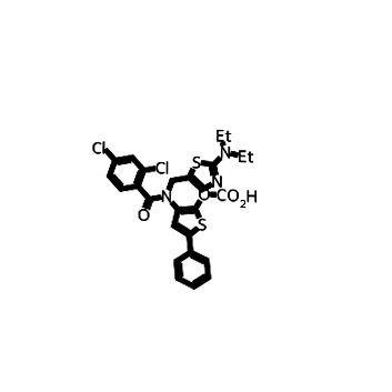 CCN(CC)c1ncc(CN(C(=O)c2ccc(Cl)cc2Cl)c2cc(-c3ccccc3)sc2OC(=O)O)s1